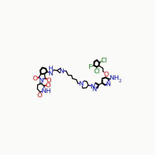 Nc1ncc(-c2cnn(C3CCN(CCCCCCN4CC(CNc5cccc6c5C(=O)N([C@@H]5CCC(=O)NC5=O)C6=O)C4)CC3)c2)cc1OCCc1c(Cl)ccc(F)c1Cl